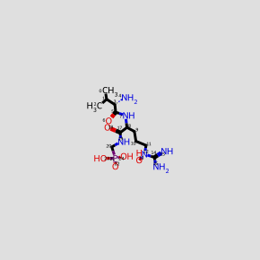 CC(C)[C@H](N)C(=O)NC(CCCN(O)C(=N)N)C(=O)NCP(=O)(O)O